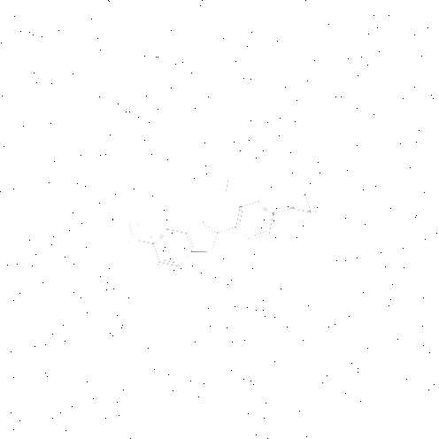 CCSc1cc(C2CC2)cnc1-c1nc2cc(OC(F)(F)F)ccc2o1